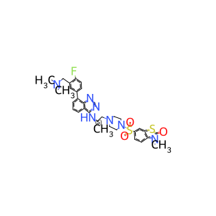 C[C@@H](CN1CCN(S(=O)(=O)c2ccc3c(c2)sc(=O)n3C)CC1)Nc1ncnc2c(-c3ccc(F)c(CN(C)C)c3)cccc12